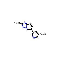 COc1cncc(-c2ccc3nc(NC(C)=O)nn3c2)c1